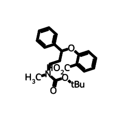 CN(CCC(Oc1ccccc1C(=O)O)c1ccccc1)C(=O)OC(C)(C)C